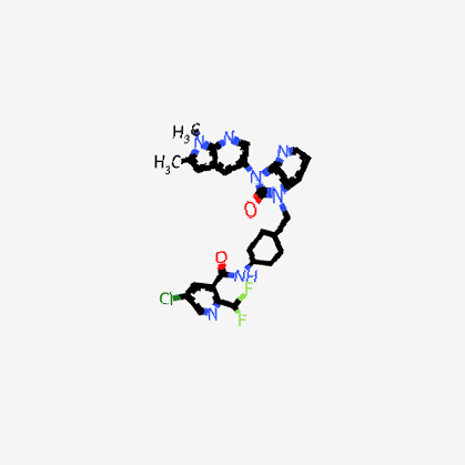 Cc1cc2cc(-n3c(=O)n(CC4CCC(NC(=O)c5cc(Cl)cnc5C(F)F)CC4)c4cccnc43)cnc2n1C